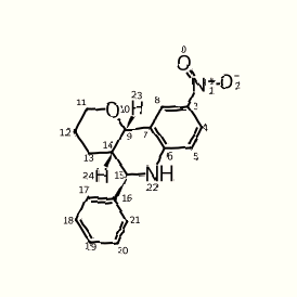 O=[N+]([O-])c1ccc2c(c1)[C@H]1OCCC[C@H]1[C@H](c1ccccc1)N2